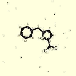 O=C(Cl)c1ccc(Cc2ccccc2)s1